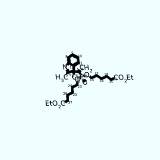 C=C(C1(C)C(C)=Nc2ccccc21)P(=O)(OCCCCCC(=O)OCC)OCCCCCC(=O)OCC